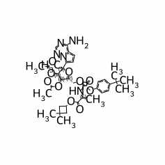 CC(=O)O[C@H]1[C@@H](OC(C)=O)[C@](C)(c2ccc3c(N)ncnn23)O[C@@H]1COP(=O)(N[C@@H](C)C(=O)OC1CC(C)(C)C1)Oc1ccc(C(C)(C)C)cc1